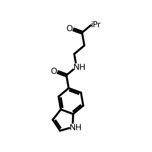 CC(C)C(=O)CCNC(=O)c1ccc2[nH]ccc2c1